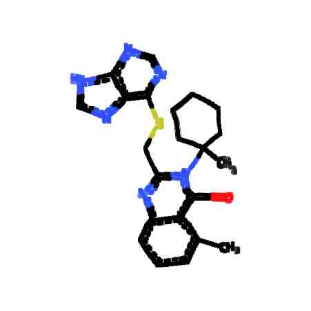 Cc1cccc2nc(CSc3ncnc4[nH]cnc34)n(C3(C)CCCCC3)c(=O)c12